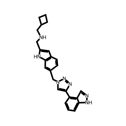 c1cc(-c2cn(Cc3ccc4cc(CNCC5CCC5)[nH]c4c3)nn2)c2cn[nH]c2c1